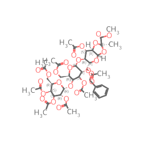 COC(=O)[C@@]1(C)O[C@H]2O[C@H](COCc3ccccc3)[C@@H](O[C@@H]3O[C@H](COC(C)=O)[C@H](O[C@H]4O[C@H](COC(C)=O)[C@H](OC(C)=O)[C@H](OC(C)=O)[C@H]4OC(C)=O)[C@H](OC(C)=O)[C@H]3OC(C)=O)[C@H](OC(C)=O)[C@H]2O1